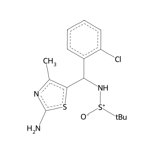 Cc1nc(N)sc1C(N[S+]([O-])C(C)(C)C)c1ccccc1Cl